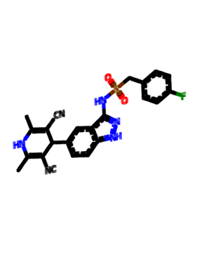 [C-]#[N+]C1=C(C)NC(C)=C(C#N)C1c1ccc2[nH]nc(NS(=O)(=O)Cc3ccc(F)cc3)c2c1